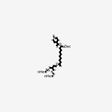 C=C(CCCCCCCCC(CCCCCCCCCC)OC(=C)C1CCN(C)CC1)OCCC(CSSCCCCCC)CSSCCCCCC